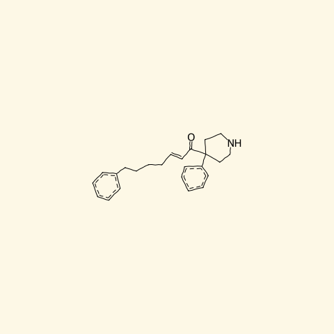 O=C(/C=C/CCCCc1ccccc1)C1(c2ccccc2)CCNCC1